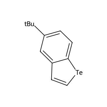 CC(C)(C)c1ccc2[te]ccc2c1